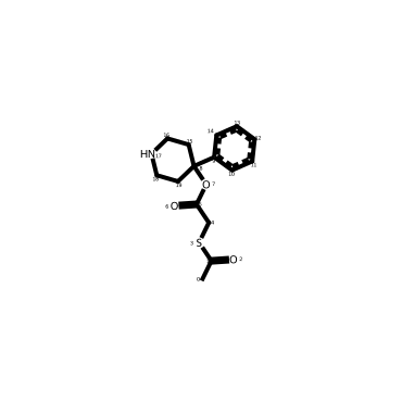 CC(=O)SCC(=O)OC1(c2ccccc2)CCNCC1